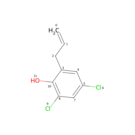 C=CCc1cc(Cl)cc(Cl)c1O